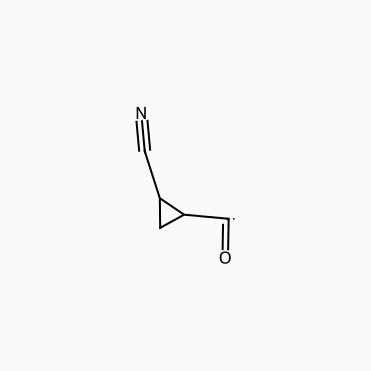 N#CC1CC1[C]=O